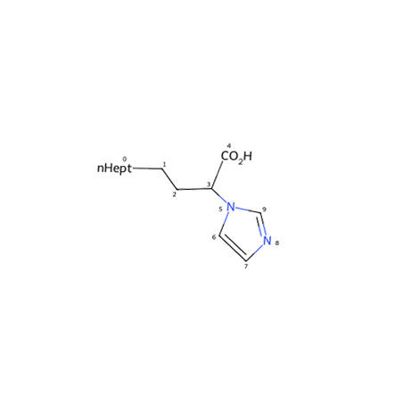 CCCCCCCCCC(C(=O)O)n1ccnc1